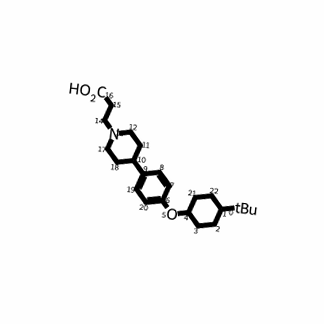 CC(C)(C)C1CCC(Oc2ccc(C3CCN(CCC(=O)O)CC3)cc2)CC1